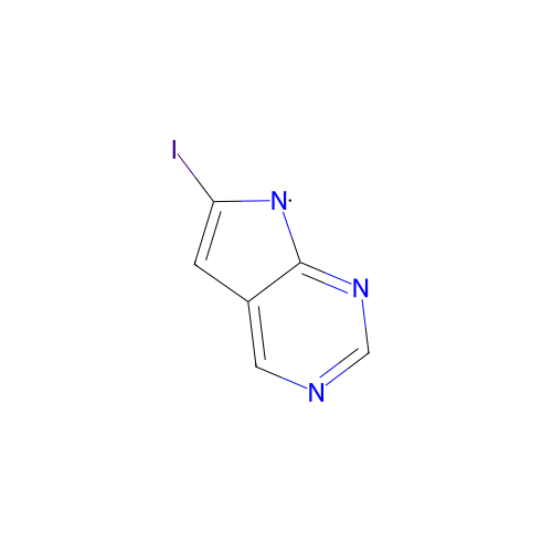 IC1=Cc2cncnc2[N]1